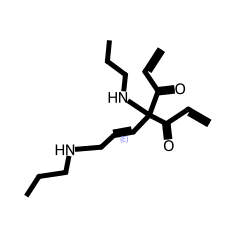 C=CC(=O)C(/C=C/CNCCC)(NCCC)C(=O)C=C